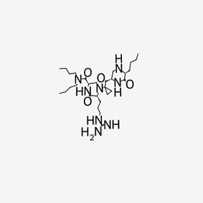 CCCC[C@@H]1NC[C@H](C(=O)C2(N3C[C@H](C(=O)N(CCCC)CCCC)NC(=O)[C@@H]3CCCNC(=N)N)CC2)NC1=O